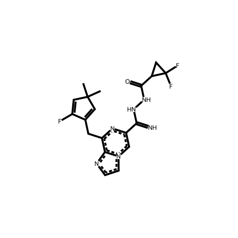 CC1(C)C=C(F)C(Cc2nc(C(=N)NNC(=O)C3CC3(F)F)cn3ccnc23)=C1